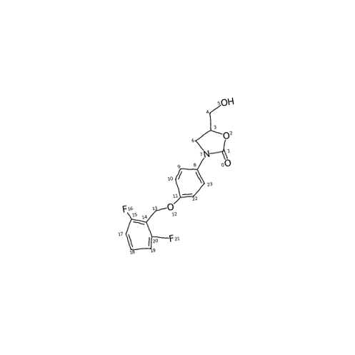 O=C1OC(CO)CN1c1ccc(OCc2c(F)cccc2F)cc1